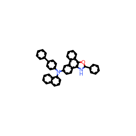 c1ccc(-c2ccc(N(c3ccc4c5c(c6ccccc6c4c3)OC(c3ccccc3)N5)c3cccc4ccccc34)cc2)cc1